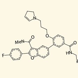 CNC(=O)c1c(-c2ccc(F)cc2)oc2ccc(-c3cc(C(=O)NCC(C)C)ccc3OCCCN3C=CCC3)cc12